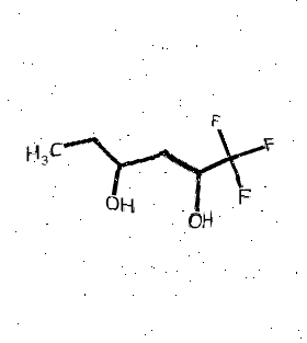 CCC(O)CC(O)C(F)(F)F